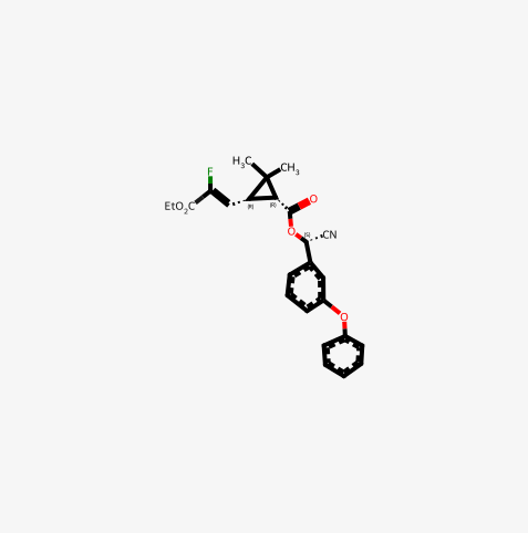 CCOC(=O)C(F)=C[C@H]1[C@@H](C(=O)O[C@H](C#N)c2cccc(Oc3ccccc3)c2)C1(C)C